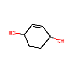 O[C]1C=CC(O)CC1